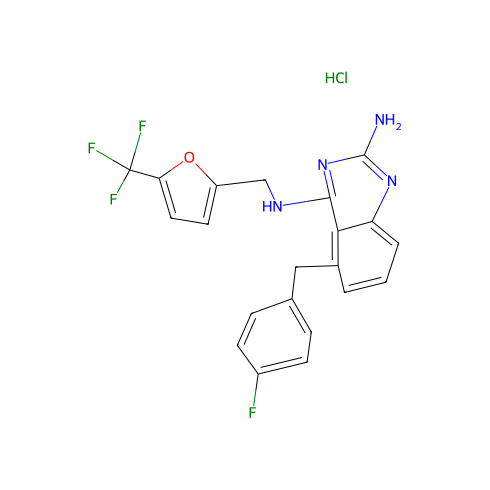 Cl.Nc1nc(NCc2ccc(C(F)(F)F)o2)c2c(Cc3ccc(F)cc3)cccc2n1